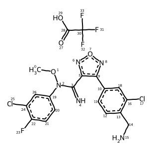 CON(C(=N)c1nonc1-c1ccc(CN)c(Cl)c1)c1ccc(F)c(Cl)c1.O=C(O)C(F)(F)F